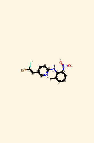 Cc1cccc([N+](=O)[O-])c1Nc1ccc(/C=C(\F)Br)cn1